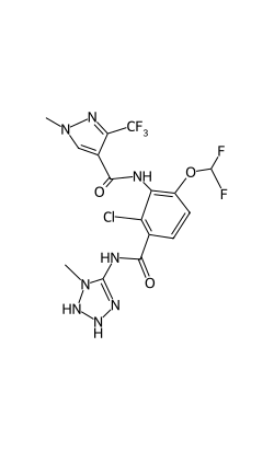 CN1NNN=C1NC(=O)c1ccc(OC(F)F)c(NC(=O)c2cn(C)nc2C(F)(F)F)c1Cl